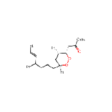 CC/C=C/C(CC)CCC[C@@]1(CC)C[C@H](CC)[C@H](CC(=O)OC)OO1